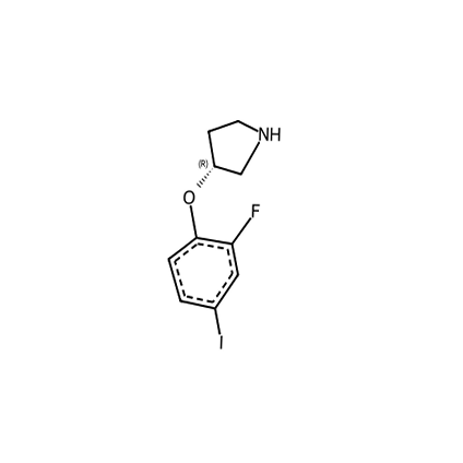 Fc1cc(I)ccc1O[C@@H]1CCNC1